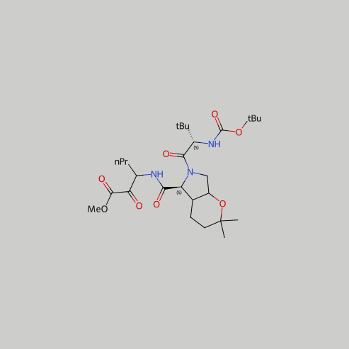 CCCC(NC(=O)[C@@H]1C2CCC(C)(C)OC2CN1C(=O)[C@@H](NC(=O)OC(C)(C)C)C(C)(C)C)C(=O)C(=O)OC